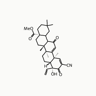 C=C[C@]1(O)C(=O)C(C#N)=C[C@]2(C)C3=CC(=O)C4C5CC(C)(C)CC[C@]5(C(=O)OC)CC[C@@]4(C)[C@]3(C)CC[C@H]21